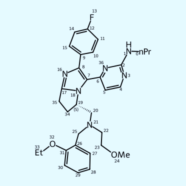 CCCNc1nccc(-c2c(-c3ccc(F)cc3)nc3n2[C@H](CN(CCOC)Cc2ccccc2OCC)CC3)n1